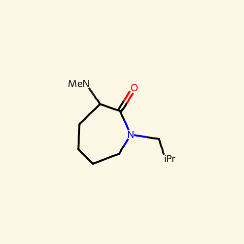 CNC1CCCCN(CC(C)C)C1=O